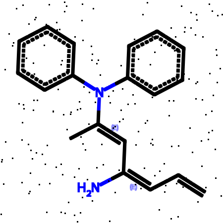 C=C/C=C(N)\C=C(/C)N(c1ccccc1)c1ccccc1